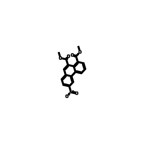 COC(=O)c1cccc2c1c(C(=O)OC)cc1ccc([N+](=O)[O-])cc12